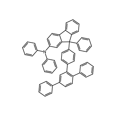 c1ccc(-c2ccc(-c3ccccc3)c(-c3ccc(C4(c5ccccc5)c5ccccc5-c5ccc(N(c6ccccc6)c6ccccc6)cc54)cc3)c2)cc1